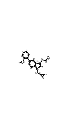 COc1ccccc1-c1ccc2c(c1)c(CC=O)cn2CC1CC1